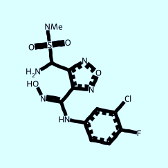 CNS(=O)(=O)C(N)c1nonc1/C(=N\O)Nc1ccc(F)c(Cl)c1